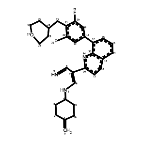 C=C1CCC(N/C=C(\C=N)c2ccc3cccc(-c4cc(F)c(CC5CCOCC5)c(F)c4)c3n2)CC1